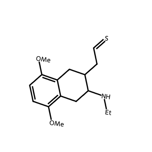 CCNC1Cc2c(OC)ccc(OC)c2CC1CC=S